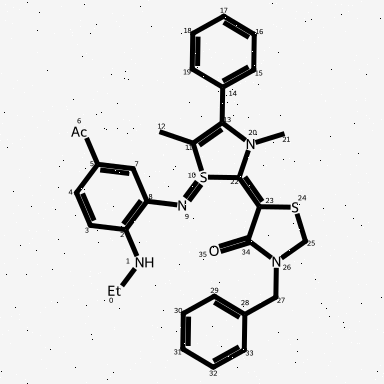 CCNc1ccc(C(C)=O)cc1N=S1C(C)=C(c2ccccc2)N(C)C1=C1SCN(Cc2ccccc2)C1=O